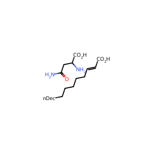 CCCCCCCCCCCCCCC/C=C/C(=O)O.NC(=O)CC(N)C(=O)O